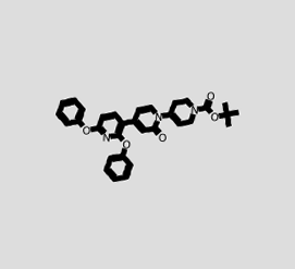 CC(C)(C)OC(=O)N1CC=C(n2ccc(-c3ccc(Oc4ccccc4)nc3Oc3ccccc3)cc2=O)CC1